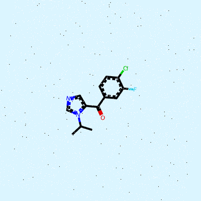 CC(C)n1cncc1C(=O)c1ccc(Cl)c(F)c1